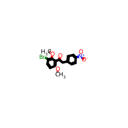 COc1ccc(Br)c(OC)c1C(=O)Cc1ccc([N+](=O)[O-])cc1